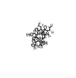 CC[C@H](C)[C@H](NC(=O)[C@H]([C@@H](C)CC)N(C)C(=O)CC[Si](C)(C)O)C(=O)N[C@H](C(=O)N[C@@H](CC(C)C)C(=O)[C@@]1(C)CO1)[C@@H](C)O